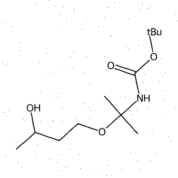 CC(O)CCOC(C)(C)NC(=O)OC(C)(C)C